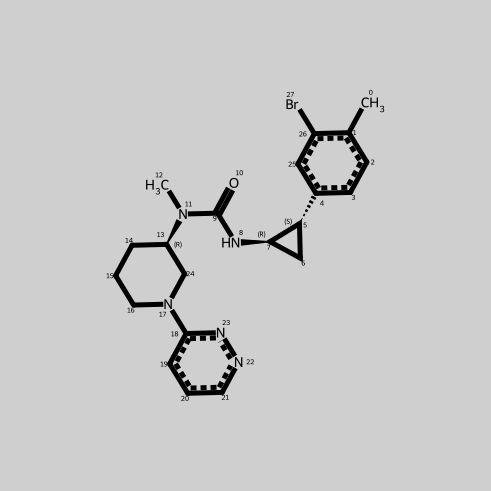 Cc1ccc([C@@H]2C[C@H]2NC(=O)N(C)[C@@H]2CCCN(c3cccnn3)C2)cc1Br